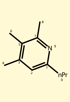 CCCc1cc(C)c(C)c(C)n1